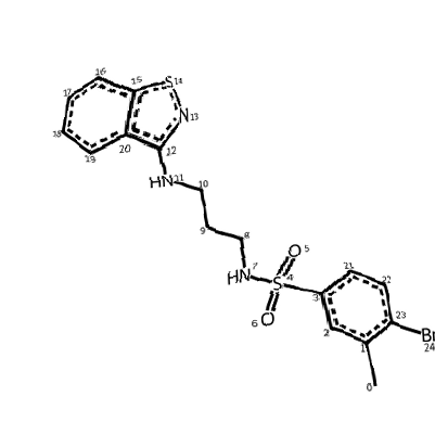 Cc1cc(S(=O)(=O)NCCCNc2nsc3ccccc23)ccc1Br